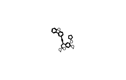 COC(=O)CC(C#Cc1ccc2oc3ccccc3c2c1)c1ccc(OC)c(OC2CCCC2)c1